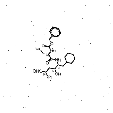 CC(C)[C@@H]([C]=O)C[C@H](O)[C@H](CC1CCCCC1)NC(=O)[C@H](CC#N)NC(=O)OCc1ccccc1